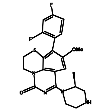 COc1cc2c(N3CCNC[C@@H]3C)nc(=O)n3c2c(c1-c1ccc(F)cc1F)SCC3